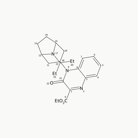 CCOC(=O)c1nc2ccccc2n(C2CC3CCC(C2)N3C(CC)CC)c1=O